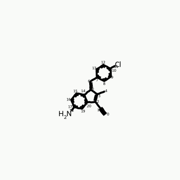 C#CC1=C(C)C(=Cc2ccc(Cl)cc2)c2ccc(N)cc21